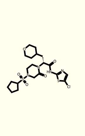 O=C(Nc1ncc(Cl)s1)[C@@H](CC1CCOCC1)N1CCN(S(=O)(=O)C2CCCC2)CC1=O